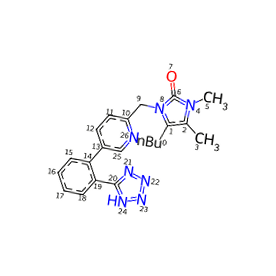 CCCCc1c(C)n(C)c(=O)n1Cc1ccc(-c2ccccc2-c2nnn[nH]2)cn1